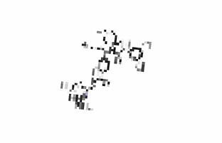 C=N/C(CNC(=O)c1ccc(C(CCC(C)(C)C)N2C(=O)C(c3cc(Cl)cc(Cl)c3)NC23CCNCC3)cc1)=N\NN